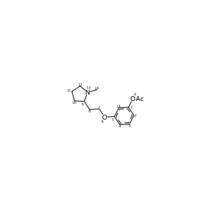 CC(=O)Oc1cccc(OCCC2CCCN2C)c1